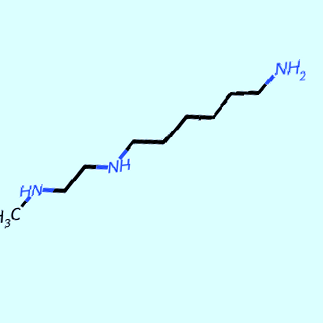 CNCCNCCCCCCN